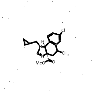 COC(=O)[C@@]12CC(C)c3cc(Cl)ccc3[C@@H]1N(CC1CC1)C=N2